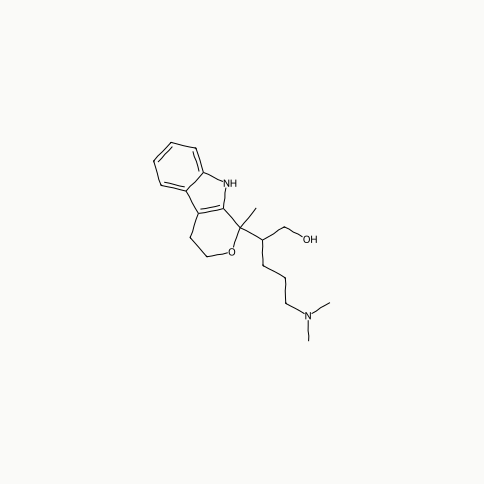 CN(C)CCCC(CO)C1(C)OCCc2c1[nH]c1ccccc21